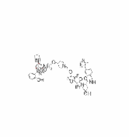 Cc1ncsc1-c1ccc([C@H](C)NC(=O)[C@@H]2C[C@@H](O)CN2C(=O)[C@@H](c2onc(OCCN3CCC(O[C@H]4C[C@H](Oc5cc(N6C7CCC6CN(c6cc(-c8ccccc8O)nnc6N)C7)ccn5)C4)CC3)c2F)C(C)C)cc1